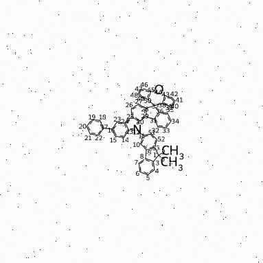 CC1(C)c2ccccc2-c2cc(-n3c4ccc(-c5ccccc5)cc4c4ccc5c(c43)-c3ccccc3C53c4ccccc4Oc4ccccc43)ccc21